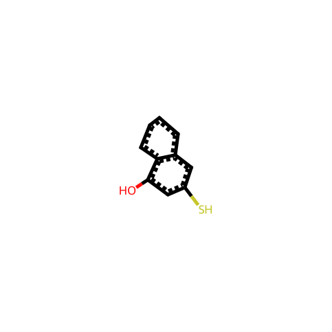 Oc1cc(S)cc2ccccc12